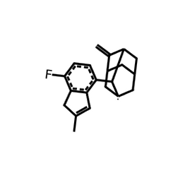 C=C1C2C[C]3CC(C2)CC1C3c1ccc(F)c2c1C=C(C)C2